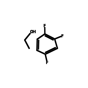 CCO.Fc1ccc(F)c(F)c1